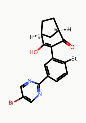 CCc1ccc(-c2ncc(Br)cn2)cc1C1=C(O)[C@H]2CC[C@H](C2)C1=O